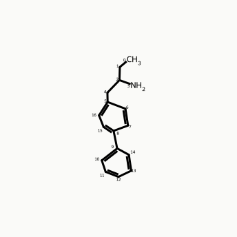 CCC(N)Cc1ccc(-c2ccccc2)cc1